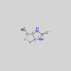 CCC(C)C1SCC2NC(=O)NC21